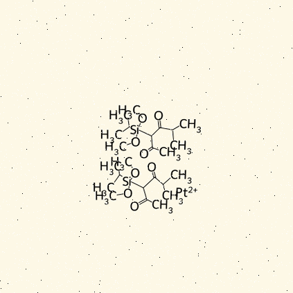 CO[Si](OC)(C(C)C)C(C(C)=O)C(=O)C(C)C.CO[Si](OC)(C(C)C)C(C(C)=O)C(=O)C(C)C.[Pt+2]